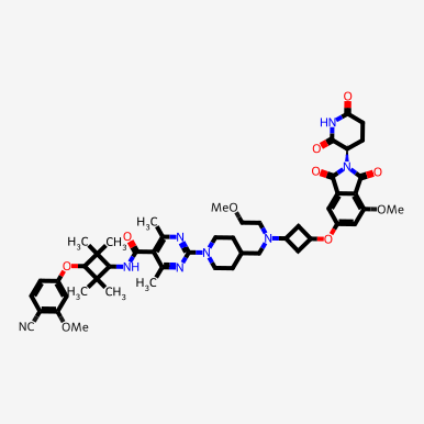 COCCN(CC1CCN(c2nc(C)c(C(=O)NC3C(C)(C)C(Oc4ccc(C#N)c(OC)c4)C3(C)C)c(C)n2)CC1)C1CC(Oc2cc(OC)c3c(c2)C(=O)N([C@@H]2CCC(=O)NC2=O)C3=O)C1